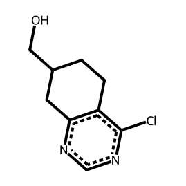 OCC1CCc2c(Cl)ncnc2C1